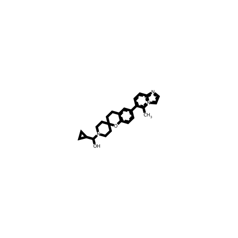 Cc1c(-c2ccc3c(c2)CCC2(CCN(C(O)C4CC4)CC2)O3)ccc2nccn12